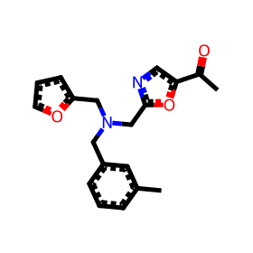 CC(=O)c1cnc(CN(Cc2cccc(C)c2)Cc2ccco2)o1